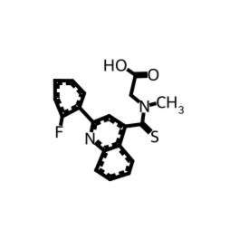 CN(CC(=O)O)C(=S)c1cc(-c2ccccc2F)nc2ccccc12